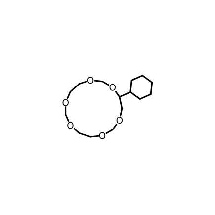 C1CCC(C2COCOCCOCOCCOCO2)CC1